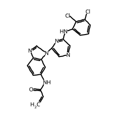 C=CC(=O)Nc1ccc2ncn(-c3cncc(Nc4cccc(Cl)c4Cl)n3)c2c1